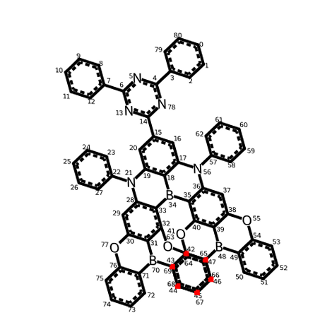 c1ccc(-c2nc(-c3ccccc3)nc(-c3cc4c5c(c3)N(c3ccccc3)c3cc6c7c(c3B5c3c(cc5c8c3Oc3ccccc3B8c3ccccc3O5)N4c3ccccc3)Oc3ccccc3B7c3ccccc3O6)n2)cc1